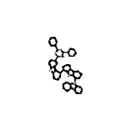 C1=CCC(C2=NC(c3ccccc3)=NC(c3ccc4oc5cccc(-c6cccc7c6oc6c(-n8c9ccccc9c9ccccc98)cccc67)c5c4c3)N2)C=C1